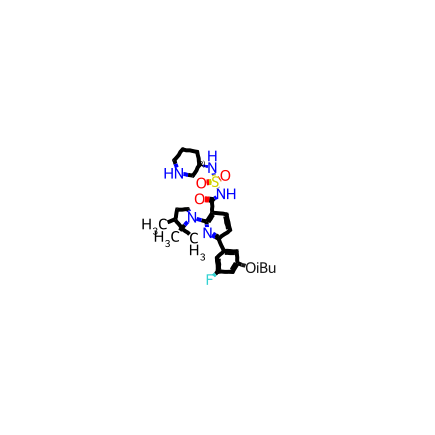 CC(C)COc1cc(F)cc(-c2ccc(C(=O)NS(=O)(=O)N[C@@H]3CCCNC3)c(N3CCC(C)C3(C)C)n2)c1